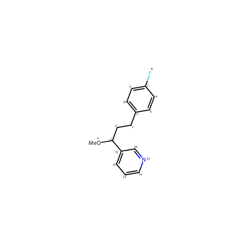 CO[C](CCc1ccc(F)cc1)c1cccnc1